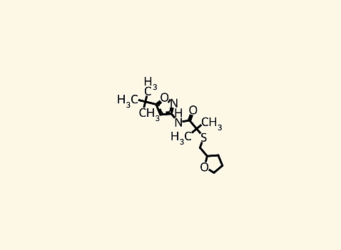 CC(C)(SCC1CCCO1)C(=O)Nc1cc(C(C)(C)C)on1